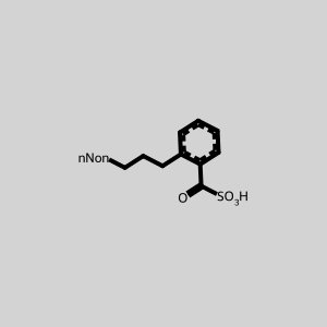 CCCCCCCCCCCCc1ccccc1C(=O)S(=O)(=O)O